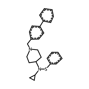 c1ccc(SN(C2CC2)C2CCN(Cc3ccc(-c4ccccc4)cc3)CC2)cc1